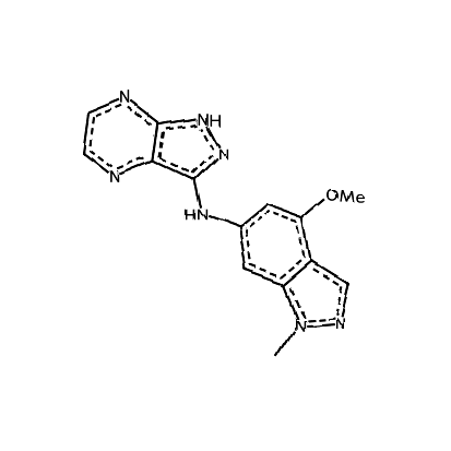 COc1cc(Nc2n[nH]c3nccnc23)cc2c1cnn2C